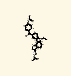 CCn1c2ccc(C(=O)c3ccc(OC(C)=O)cc3)cc2c2c3c(ccc21)/C(=N/OC(C)=O)CO3